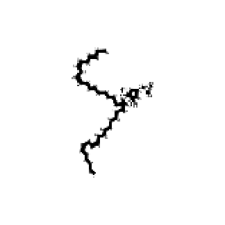 CCCCC/C=C\C/C=C\CCCCCCCCC1(CCCCCCCC/C=C\C/C=C\CCCCC)O[C@H]2C[C@@H](CN(C)C)C[C@H]2O1